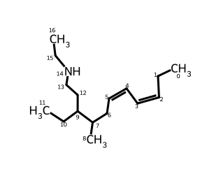 CC/C=C\C=C/CC(C)C(CC)CCNCC